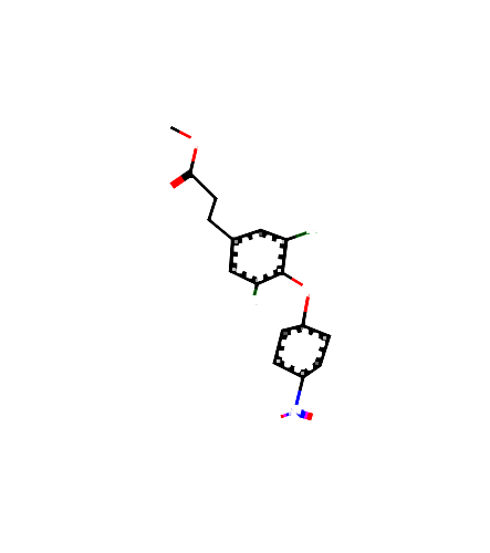 COC(=O)CCc1cc(Br)c(Oc2ccc([N+](=O)[O-])cc2)c(Br)c1